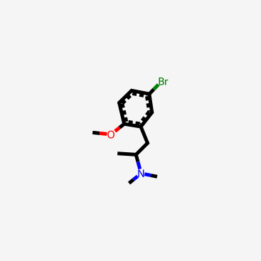 COc1ccc(Br)cc1CC(C)N(C)C